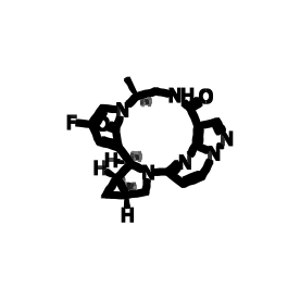 C[C@H]1CNC(=O)c2cnn3ccc(nc23)N2C[C@@H]3C[C@@H]3[C@H]2c2cc(F)cn1c2=O